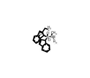 CCC1=Cc2ccccc2[CH]1[Zr]([Cl])([Cl])([CH]1C(CC)=Cc2ccccc21)[SiH](C)C